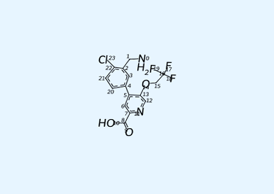 NCc1cc(-c2cc(C(=O)O)ncc2OCC(F)(F)F)ccc1Cl